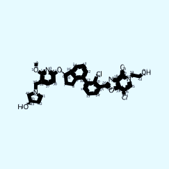 COc1nc(O[C@H]2CCc3c(-c4cccc(-c5nc6c(=O)n(CCO)cc(Cl)c6o5)c4Cl)cccc32)ccc1CN1CC[C@@H](O)C1